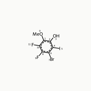 COc1c(O)c(I)c(Br)c(F)c1F